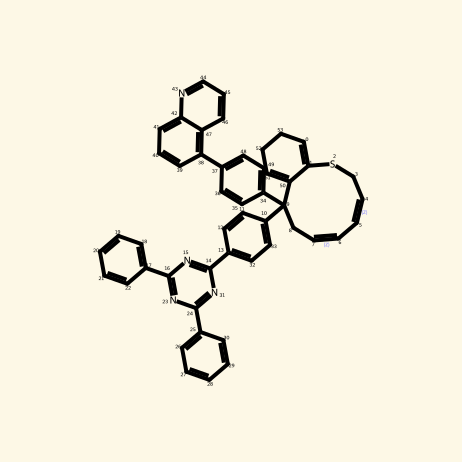 C1=C2SC/C=C\C=C/CC(c3ccc(-c4nc(-c5ccccc5)nc(-c5ccccc5)n4)cc3)(c3ccc(-c4cccc5ncccc45)cc3)C2=CCC1